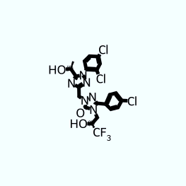 C[C@H](O)c1nc(Cn2nc(-c3ccc(Cl)cc3)n(C[C@H](O)C(F)(F)F)c2=O)nn1-c1ccc(Cl)cc1Cl